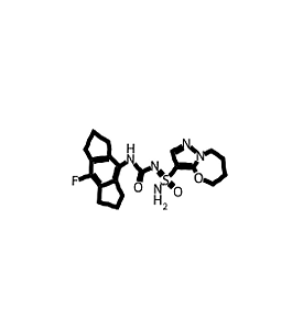 NS(=O)(=NC(=O)Nc1c2c(c(F)c3c1CCC3)CCC2)c1cnn2c1OCCCC2